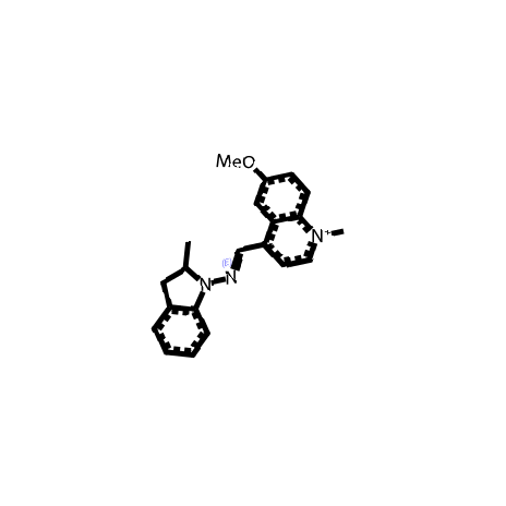 COc1ccc2c(c1)c(/C=N/N1c3ccccc3CC1C)cc[n+]2C